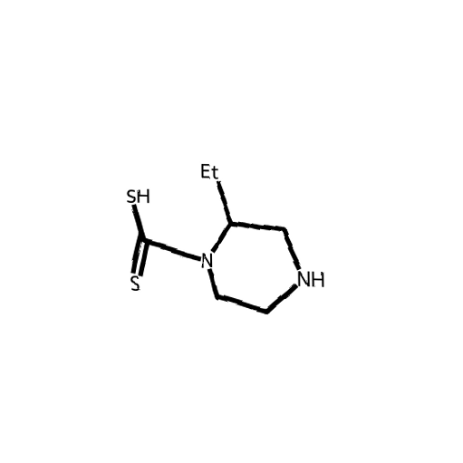 CCC1CNCCN1C(=S)S